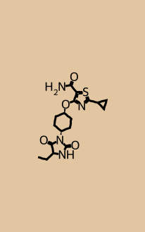 CCC1NC(=O)N([C@H]2CC[C@H](Oc3nc(C4CC4)sc3C(N)=O)CC2)C1=O